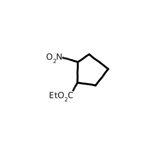 CCOC(=O)C1CCCC1[N+](=O)[O-]